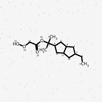 CCC1CC2CC(C(C)(C)OC(=O)COO)CC2C1